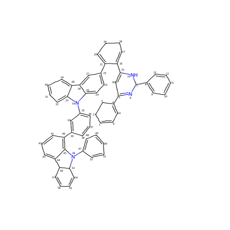 C1=CCCC(C2=NC(c3ccccc3)NC(C3=CCCC=C3c3ccc4c(c3)c3ccccc3n4-c3cccc(-c4cccc5c4N(c4ccccc4)C4C=CC=CC54)c3)=C2)=C1